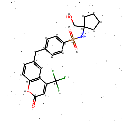 O=c1cc(C(F)(F)F)c2cc(Cc3ccc(S(=O)(=O)NC4(CO)CCCC4)cc3)ccc2o1